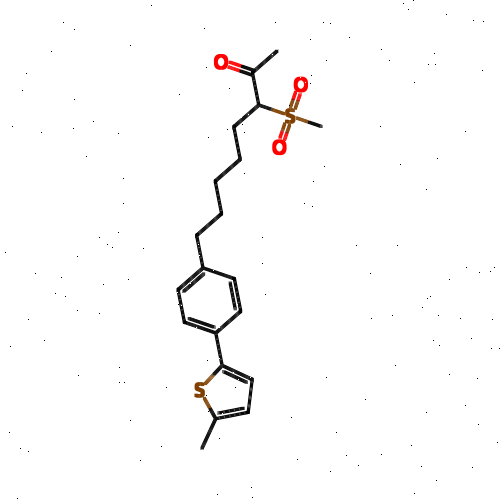 CC(=O)C(CCCCCc1ccc(-c2ccc(C)s2)cc1)S(C)(=O)=O